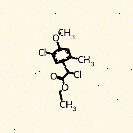 CCOC(=O)C(Cl)c1cc(Cl)c(OC)cc1C